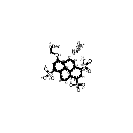 CCCCCCCCCCCOc1cc(S(=O)(=O)[O-])c2ccc3c(S(=O)(=O)[O-])cc(S(=O)(=O)[O-])c4ccc1c2c43.[Na+].[Na+].[Na+]